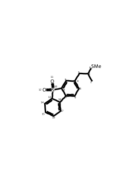 CSC(C)Cc1ccc2c(c1)S(=O)(=O)c1ccccc1-2